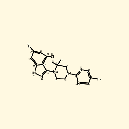 CC1(C)CN(c2ncc(F)cn2)CCN1c1n[nH]c2cc(F)cc(Cl)c12